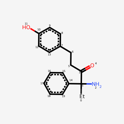 [CH2]CC(N)(C(=O)CCc1ccc(O)cc1)c1ccccc1